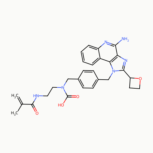 C=C(C)C(=O)NCCN(Cc1ccc(Cn2c(C3CCO3)nc3c(N)nc4ccccc4c32)cc1)C(=O)O